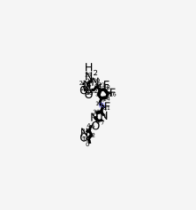 Cc1cc(COc2cnc(/C(F)=C/c3cc(F)c(F)c([C@]4(C)CS(=O)(=O)N(C)C(N)=N4)c3)cn2)no1